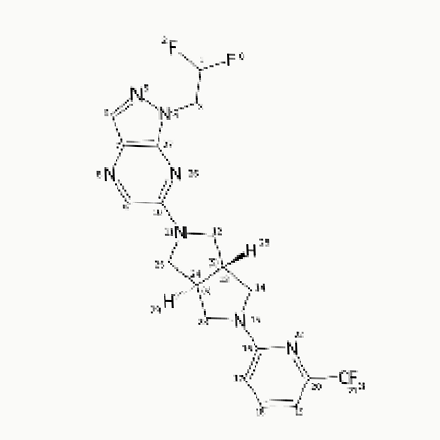 FC(F)Cn1ncc2ncc(N3C[C@@H]4CN(c5cccc(C(F)(F)F)n5)C[C@H]4C3)nc21